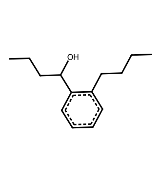 CCCCc1ccccc1C(O)CCC